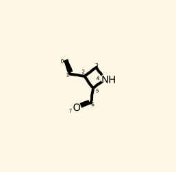 C=CC1CNC1C=O